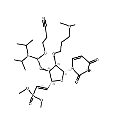 COP(=O)(/C=C/[C@H]1O[C@@H](n2ccc(=O)[nH]c2=O)[C@H](OCCCN(C)C)[C@@H]1OP(OCCC#N)N(C(C)C)C(C)C)OC